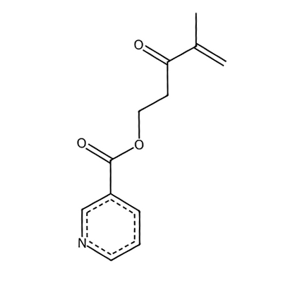 C=C(C)C(=O)CCOC(=O)c1cccnc1